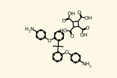 CC(C)(c1ccccc1Oc1ccc(N)cc1)c1ccccc1Oc1ccc(N)cc1.O=C(O)C1C(C(=O)O)C(C(=O)O)C1C(=O)O